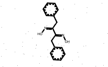 ON=C(Cc1ccccc1)C(Cc1ccccc1)=NO